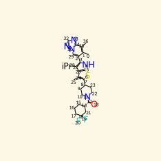 Cc1c(-c2[nH]c3sc(C4CCN(C(=O)[C@H]5CCCC(F)(F)C5)CC4)c(C)c3c2C(C)C)cn2ncnc2c1C